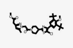 COC(=O)Cc1cc(C)n(CC(=O)N2CCC(c3nc(-c4cc(C(C)(C)C)c(OC)c(C(C)(C)C)c4)c(Cl)s3)CC2)n1